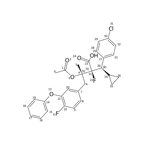 CC(=O)O[C@@](C)(Cc1ccc(F)c(Oc2ccccc2)c1)[C@](F)(C(=O)O)[C@@H](c1ccc(Cl)cc1)C1CC1